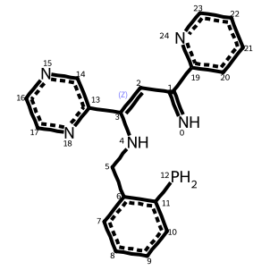 N=C(/C=C(\NCc1ccccc1P)c1cnccn1)c1ccccn1